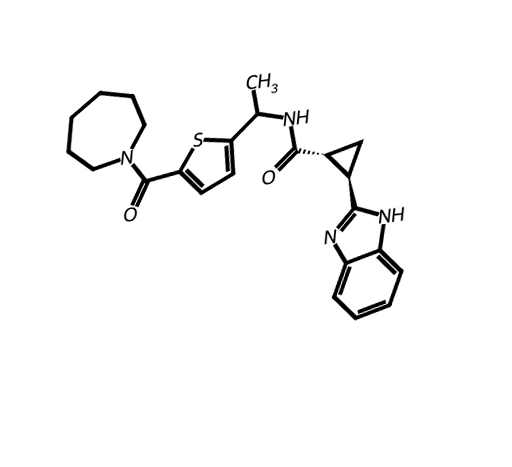 CC(NC(=O)[C@@H]1C[C@H]1c1nc2ccccc2[nH]1)c1ccc(C(=O)N2CCCCCC2)s1